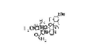 Cc1nn(C)cc1-c1nn(-c2ccnc(-n3ncc4cc(C(C)(C)C)cc(F)c4c3=O)c2CO)cc1C(N)=O